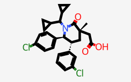 C[C@@]1(CC(=O)O)C[C@H](c2cccc(Cl)c2)[C@@H](c2ccc(Cl)cc2)N(C(C2CC2)C2CC2)C1=O